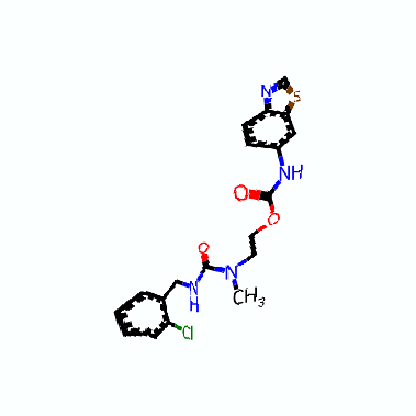 CN(CCOC(=O)Nc1ccc2ncsc2c1)C(=O)NCc1ccccc1Cl